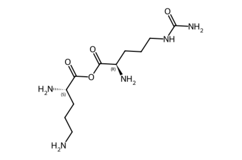 NCCC[C@H](N)C(=O)OC(=O)[C@H](N)CCCNC(N)=O